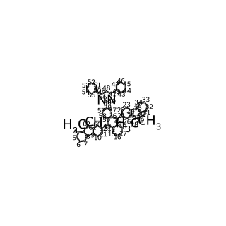 CC1(C)c2ccccc2-c2ccc(-c3c4ccccc4c(-c4ccc5c(c4)C(C)(C)c4ccccc4-5)c4cc(-c5nc(-c6ccccc6)cc(-c6ccccc6)n5)ccc34)cc21